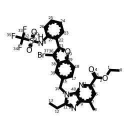 CCOC(=O)c1cc(C)c2nc(CC)n(Cc3ccc4oc(-c5ccccc5NS(=O)(=O)C(F)(F)F)c(Br)c4c3)c2n1